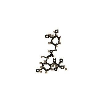 C/C(=N\OCc1ccc(Cl)c(Cl)c1)c1cc(Cl)ccc1NS(=O)(=O)C(F)(F)F